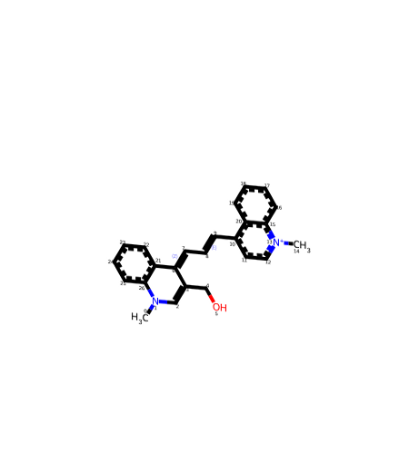 CN1C=C(CO)/C(=C\C=C\c2cc[n+](C)c3ccccc23)c2ccccc21